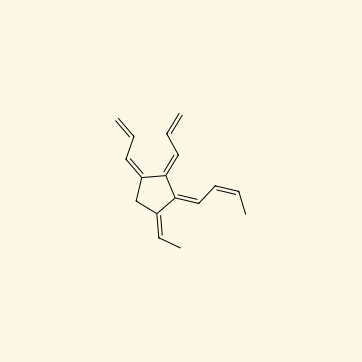 C=C/C=C1CC(=C/C)/C(=C/C=C\C)C/1=C/C=C